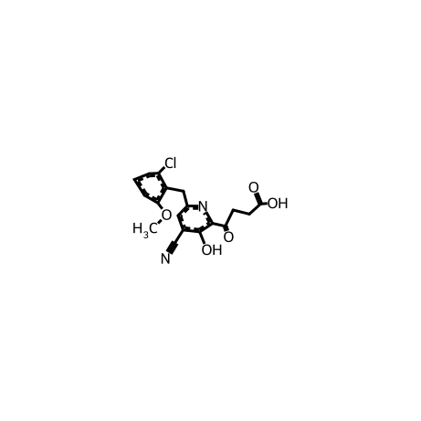 COc1cccc(Cl)c1Cc1cc(C#N)c(O)c(C(=O)CCC(=O)O)n1